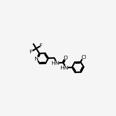 CC(F)(F)c1cc(CNC(=O)Nc2cccc(Cl)c2)ccn1